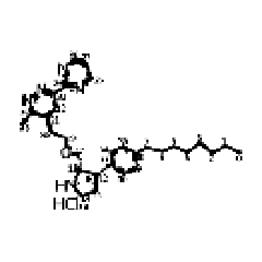 CCCCCCCCc1ccc([C@H]2CCN[C@@H]2COCCc2cc(-c3ncccn3)nnc2C)cc1.Cl